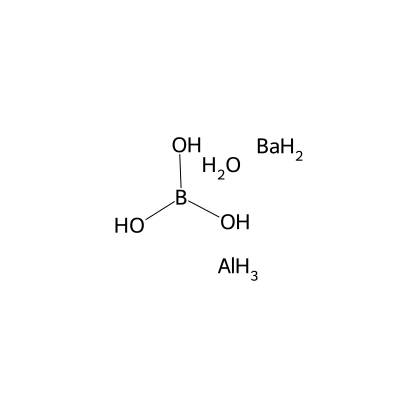 O.OB(O)O.[AlH3].[BaH2]